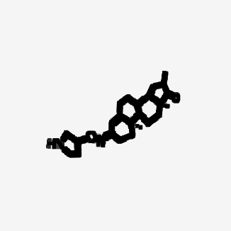 CC1CC2C3CCC4=CC(=NOC5CCNC5)CC[C@]4(C)C3CC[C@]2(C)C1=O